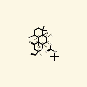 C=C[C@@]1(C)CC(=O)[C@]2(O)[C@@]3(C)[C@@H](O)CCC(C)(C)[C@@H]3[C@H](O)[C@H](OC(=O)NC(C)(C)C)[C@@]2(C)O1